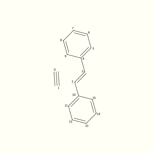 C#C.C(=Cc1ccccc1)c1ccccc1